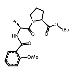 COc1ccccc1C(=O)N[C@H](C(=O)N1CCC[C@H]1C(=O)OC(C)(C)C)C(C)C